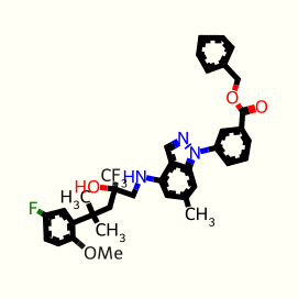 COc1ccc(F)cc1C(C)(C)CC(O)(CNc1cc(C)cc2c1cnn2-c1cccc(C(=O)OCc2ccccc2)c1)C(F)(F)F